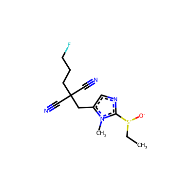 CC[S+]([O-])c1ncc(CC(C#N)(C#N)CCCF)n1C